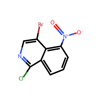 O=[N+]([O-])c1cccc2c(Cl)ncc(Br)c12